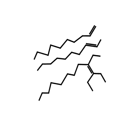 C=CCCCCCCCC.CC=CCCCCCCC.CCCCCCCCC(CC)=C(CC)CC